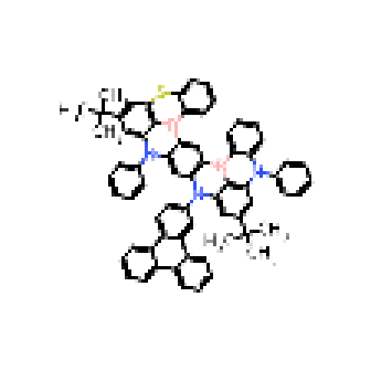 CC(C)(C)c1cc2c3c(c1)N(c1ccccc1)c1cc4c(cc1B3c1ccccc1S2)B1c2ccccc2N(c2ccccc2)c2cc(C(C)(C)C)cc(c21)N4c1ccc2c3ccccc3c3ccccc3c2c1